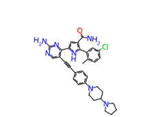 Cc1ccc(Cl)cc1-c1[nH]c(-c2nc(N)ncc2C#Cc2ccc(N3CCC(N4CCCC4)CC3)cc2)cc1C(N)=O